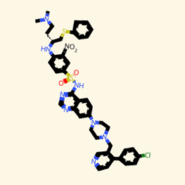 CN(C)CC[C@H](CSc1ccccc1)Nc1ccc(S(=O)(=O)Nc2ncnc3cc(N4CCN(Cc5cnccc5-c5ccc(Cl)cc5)CC4)ccc23)cc1[N+](=O)[O-]